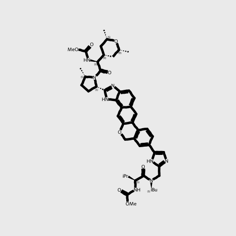 CC[C@H](C)N(Cc1ncc(-c2ccc3c(c2)COc2cc4c(ccc5nc([C@@H]6CC[C@H](C)N6C(=O)[C@@H](NC(=O)OC)[C@H]6C[C@@H](C)O[C@@H](C)C6)[nH]c54)cc2-3)[nH]1)C(=O)[C@@H](NC(=O)OC)C(C)C